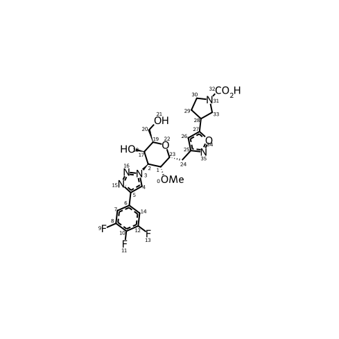 CO[C@@H]1[C@@H](n2cc(-c3cc(F)c(F)c(F)c3)nn2)[C@@H](O)[C@@H](CO)O[C@@H]1Cc1cc(C2CCN(C(=O)O)C2)on1